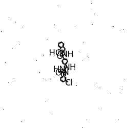 O=C(N[C@H]1Cc2ccccc2[C@@H]1O)c1ccc(Nc2nn(-c3cccc(Cl)c3)c(=O)[nH]2)cc1